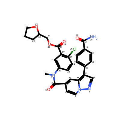 CN(C(=O)c1ccn2ncc(-c3ccc(C(N)=O)cc3)c2c1)c1ccc(Cl)c(C(=O)OCC2CCCO2)c1